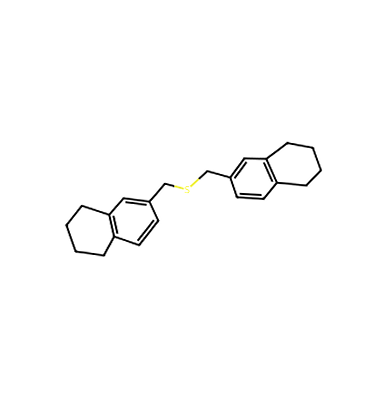 c1cc2c(cc1CSCc1ccc3c(c1)CCCC3)CCCC2